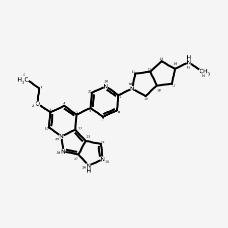 CCOc1cc(-c2ccc(N3CC4CC(NC)CC4C3)nc2)c2c3cn[nH]c3nn2c1